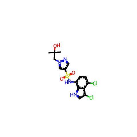 CC(C)(O)Cn1cc(S(=O)(=O)Nc2ccc(Cl)c3c(Cl)c[nH]c23)cn1